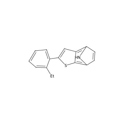 CCc1ccccc1-c1cc2c3ccc([nH]3)c2s1